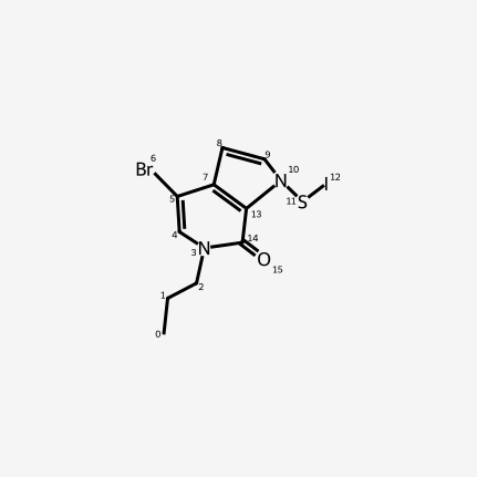 CCCn1cc(Br)c2ccn(SI)c2c1=O